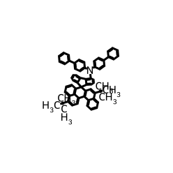 CC(C)(C)c1cc2c(c3ccccc13)-c1ccc(C(C)(C)C)c3cccc(c13)C21c2ccccc2-c2c(N(c3ccc(-c4ccccc4)cc3)c3ccc(-c4ccccc4)cc3)cccc21